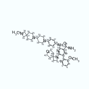 COc1cccnc1-c1nc(C(N)=O)c(Nc2ccc(N3CCC(N4CCC5(CC4)CN(C)C5)CC3)cc2)nc1N1CCC12CCOCC2